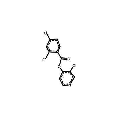 O=C(Oc1c[c]ncc1Cl)c1ccc(Cl)cc1Cl